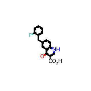 O=C(O)c1c[nH]c2ccc(Cc3ccccc3F)cc2c1=O